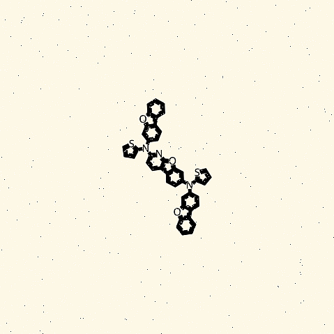 c1csc(N(c2ccc3c(c2)oc2ccccc23)c2ccc3c(c2)oc2nc(N(c4ccc5c(c4)oc4ccccc45)c4cccs4)ccc23)c1